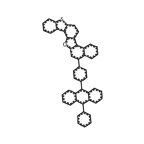 c1ccc(-c2c3ccccc3c(-c3ccc(-c4cc5oc6c(ccc7sc8ccccc8c76)c5c5ccccc45)cc3)c3ccccc23)cc1